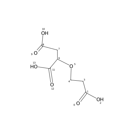 O=C(O)CCOC(CC(=O)O)C(=O)O